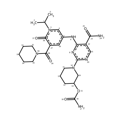 CC(C)n1cc(Nc2nc(N3CCCC(OC(N)=O)C3)ncc2C(N)=O)cc(C(=O)N2CCCCC2)c1=O